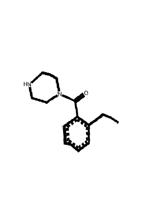 CCc1ccc[c]c1C(=O)N1CCNCC1